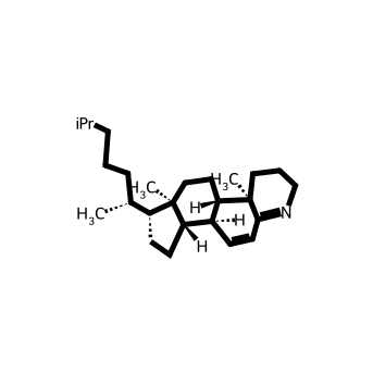 CC(C)CCC[C@@H](C)[C@H]1CC[C@H]2[C@@H]3C=CC4=NCCC[C@]4(C)[C@H]3CC[C@]12C